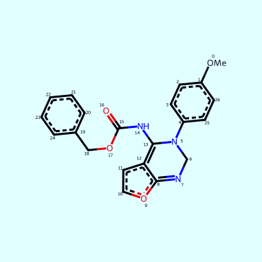 COc1ccc(N2CN=c3occc3=C2NC(=O)OCc2ccccc2)cc1